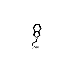 CSCCn1cc2ccccc2c1